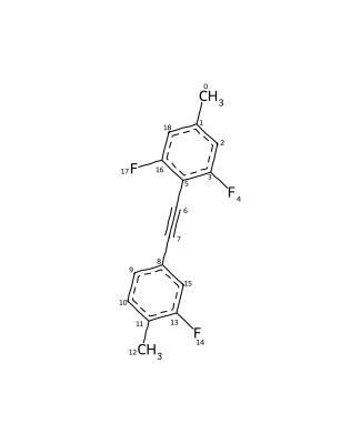 Cc1cc(F)c(C#Cc2ccc(C)c(F)c2)c(F)c1